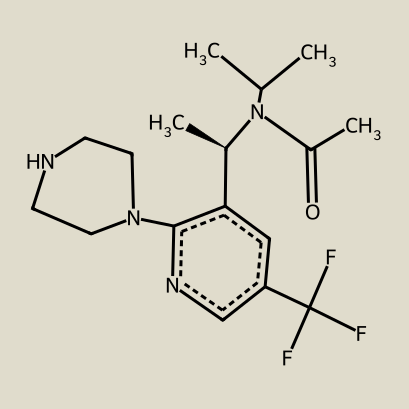 CC(=O)N(C(C)C)[C@H](C)c1cc(C(F)(F)F)cnc1N1CCNCC1